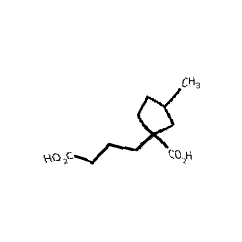 CC1CCC(CCCC(=O)O)(C(=O)O)C1